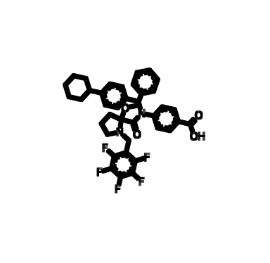 O=C(O)c1ccc(N(Cc2ccc(C3CCCCC3)cc2)C(=O)C2(OCc3ccccc3)CCCN2Cc2c(F)c(F)c(F)c(F)c2F)cc1